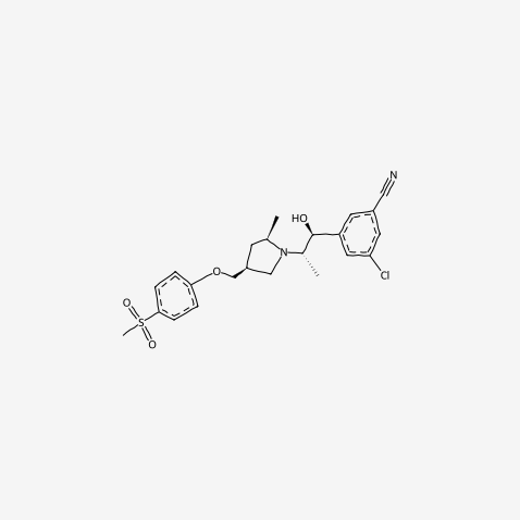 C[C@@H]1C[C@H](COc2ccc(S(C)(=O)=O)cc2)CN1[C@@H](C)[C@@H](O)c1cc(Cl)cc(C#N)c1